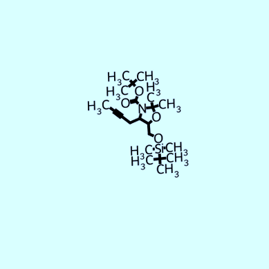 CC#CCC1C(CO[Si](C)(C)C(C)(C)C)OC(C)(C)N1C(=O)OC(C)(C)C